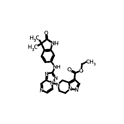 CCOC(=O)c1cnn2c1CN([N+]13C=CN=CC1=NC(Nc1ccc4c(c1)NC(=O)C4(C)C)=N3)CC2